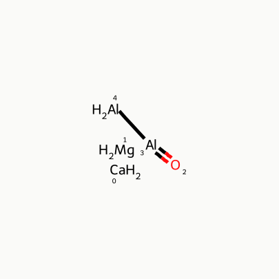 [CaH2].[MgH2].[O]=[Al][AlH2]